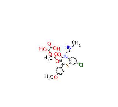 CCNCCN1C(=O)[C@H](OC(C)=O)[C@H](c2ccc(OC)cc2)Sc2cc(Cl)ccc21.O=C(O)C(=O)O